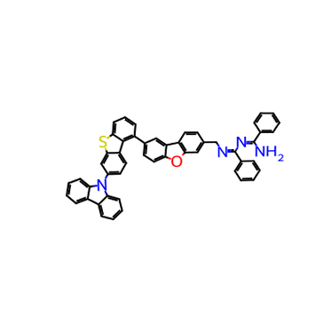 N/C(=N\C(=N/Cc1ccc2c(c1)oc1ccc(-c3cccc4sc5cc(-n6c7ccccc7c7ccccc76)ccc5c34)cc12)c1ccccc1)c1ccccc1